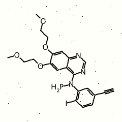 C#Cc1ccc(I)c(N(P)c2ncnc3cc(OCCOC)c(OCCOC)cc23)c1